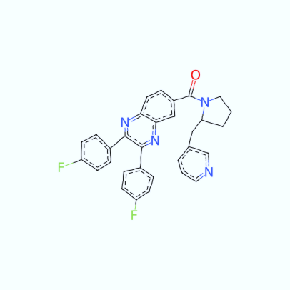 O=C(c1ccc2nc(-c3ccc(F)cc3)c(-c3ccc(F)cc3)nc2c1)N1CCCC1Cc1cccnc1